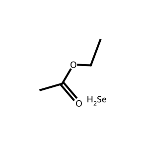 CCOC(C)=O.[SeH2]